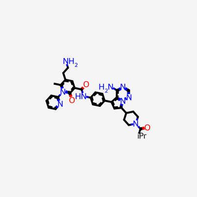 Cc1c(CCN)cc(C(=O)Nc2ccc(-c3cc(C4CCN(C(=O)C(C)C)CC4)n4ncnc(N)c34)cc2)c(=O)n1-c1ccccn1